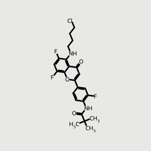 CC(C)(C)C(=O)Nc1ccc(-c2cc(=O)c3c(NCCCCCl)c(F)cc(F)c3o2)cc1F